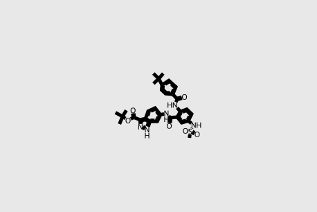 CC(C)(C)OC(=O)c1n[nH]c2cc(NC(=O)c3cc(NS(C)(=O)=O)ccc3NC(=O)c3ccc(C(C)(C)C)cc3)ccc12